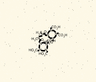 CN(CCN(C)C(=O)CN1CCN(CC(=O)O)CCN(CC(=O)O)CCN(CC(=O)O)CC1)C(=O)CN1CCN(CC(=O)O)CCN(CC(=O)O)CCN(CC(=O)O)CC1